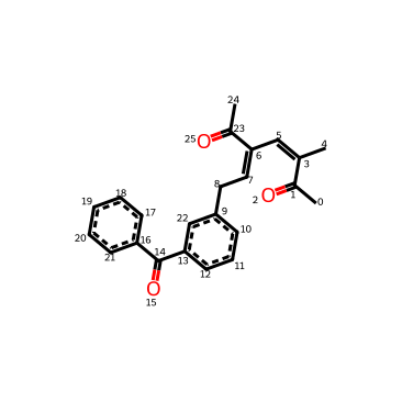 CC(=O)C(C)=CC(=CCc1cccc(C(=O)c2ccccc2)c1)C(C)=O